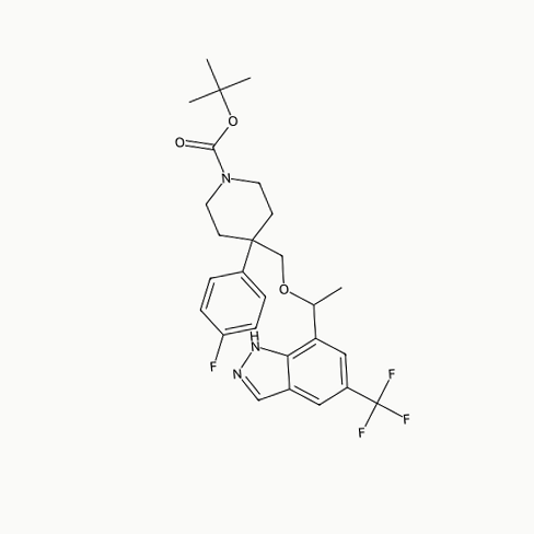 CC(OCC1(c2ccc(F)cc2)CCN(C(=O)OC(C)(C)C)CC1)c1cc(C(F)(F)F)cc2cn[nH]c12